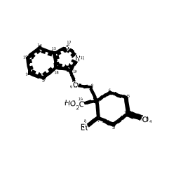 CCC1CC(=O)CCC1(COc1nsc2ccccc12)C(=O)O